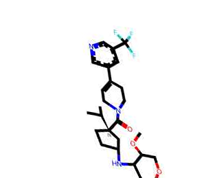 COC1COCCC1NC1CC[C@@](C(=O)N2CC=C(c3cncc(C(F)(F)F)c3)CC2)(C(C)C)C1